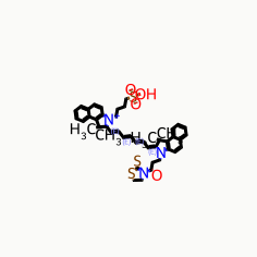 CC1(C)C(/C=C/C=C/C=C/C=C2/N(CCC(=O)N3CCSC3=S)c3ccc4ccccc4c3C2(C)C)=[N+](CCCCS(=O)(=O)O)c2ccc3ccccc3c21